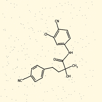 CC(O)(CCc1ccc(C#N)cc1)C(=O)Nc1ccc(C#N)c(Cl)c1